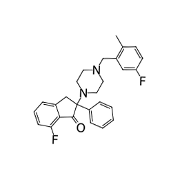 Cc1ccc(F)cc1CN1CCN(C2(c3ccccc3)Cc3cccc(F)c3C2=O)CC1